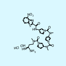 CN(CCC(=N)N)C(=O)n1ccc(N(C)C(=O)n2ccc(N(C)C(=O)n3ccc(NC(=O)c4nc5c([N+](=O)[O-])cccc5s4)c3)c2)c1.Cl.Cl